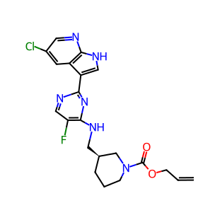 C=CCOC(=O)N1CCC[C@@H](CNc2nc(-c3c[nH]c4ncc(Cl)cc34)ncc2F)C1